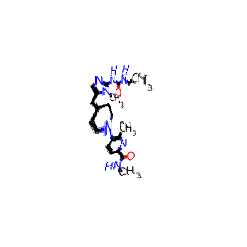 CCNC(=O)Nc1ncc(CC2CCN(c3ccc(C(=O)NC)nc3C)CC2)n1C